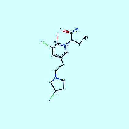 CC(C)CC(C(N)=O)n1cc(CCN2CCC(F)C2)cc(F)c1=O